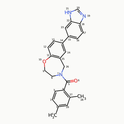 Cc1ccc(C(=O)N2CCOc3ccc(-c4ccc5nc[nH]c5c4)cc3C2)c(C)c1